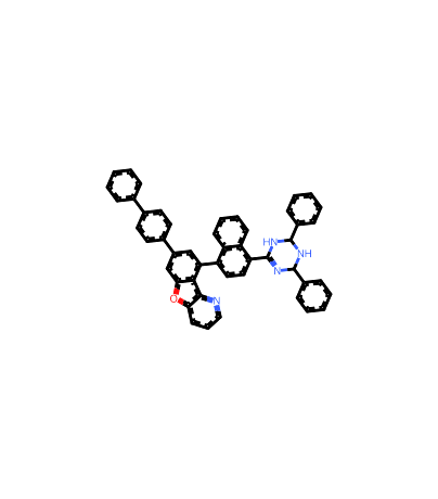 c1ccc(-c2ccc(-c3cc(-c4ccc(C5=NC(c6ccccc6)NC(c6ccccc6)N5)c5ccccc45)c4c(c3)oc3cccnc34)cc2)cc1